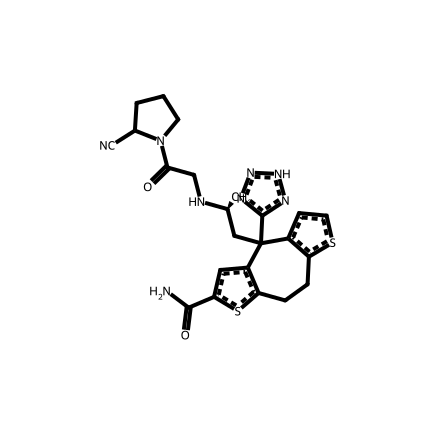 C[C@@H](CC1(c2nn[nH]n2)c2ccsc2CCc2sc(C(N)=O)cc21)NCC(=O)N1CCCC1C#N